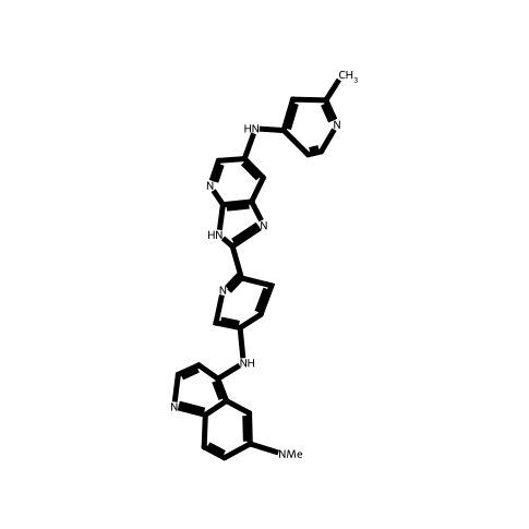 CNc1ccc2nccc(Nc3ccc(-c4nc5cc(Nc6ccnc(C)c6)cnc5[nH]4)nc3)c2c1